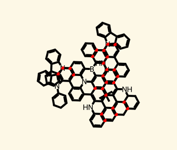 CC(C)(C)c1cc2c3c(c1)N(c1c(-c4cccc(C5=CCCCC5)c4NC4C=CC=CC4)cccc1-c1cccc(-c4ccccc4)c1Nc1ccccc1)c1cc(-n4c5ccccc5c5ccccc54)ccc1B3c1ccc(-n3c4ccccc4c4ccccc43)cc1N2c1c(C2=CCCC3=C2N(C2=CCCC=C2)C2CC=CC=C32)cccc1C1=C(Nc2ccccc2)C(c2ccccc2)=CCC1